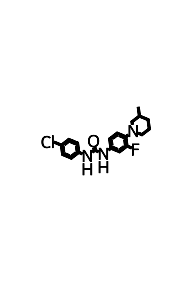 CC1CCCN(c2ccc(NC(=O)Nc3ccc(Cl)cc3)cc2F)C1